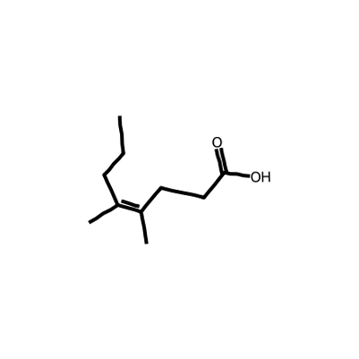 CCCC(C)=C(C)CCC(=O)O